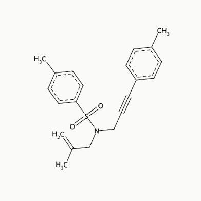 C=C(C)CN(CC#Cc1ccc(C)cc1)S(=O)(=O)c1ccc(C)cc1